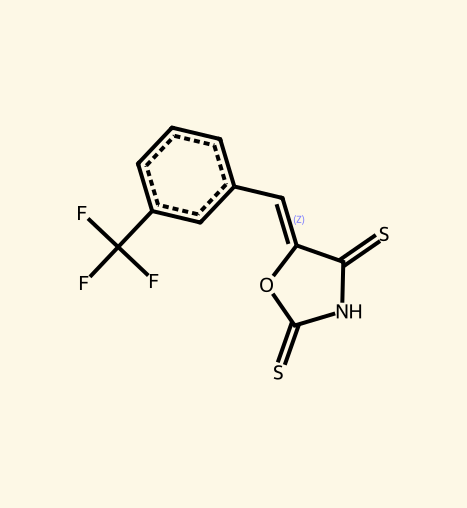 FC(F)(F)c1cccc(/C=C2\OC(=S)NC2=S)c1